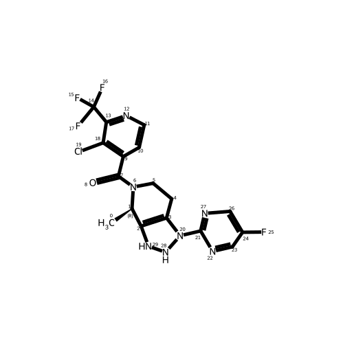 C[C@@H]1C2=C(CCN1C(=O)c1ccnc(C(F)(F)F)c1Cl)N(c1ncc(F)cn1)NN2